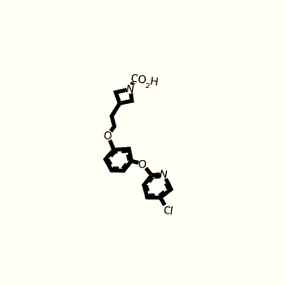 O=C(O)N1CC(CCOc2cccc(Oc3ccc(Cl)cn3)c2)C1